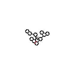 c1ccc(-c2ccc(-c3cc4ccccc4c4ccccc34)cc2N(c2cccc(-c3ccc4ccccc4c3)c2)c2cccc3ccccc23)cc1